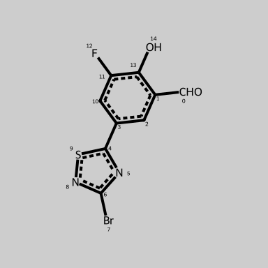 O=Cc1cc(-c2nc(Br)ns2)cc(F)c1O